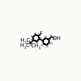 CC(C)(C)c1ccc(F)c(-c2cccc(CO)c2)c1